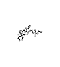 CN(C)[C@]1(c2ccccc2)CC[C@]2(CC1)CC(=O)N(CCC(C)(C)OC=O)C2